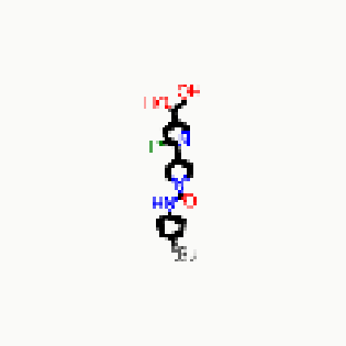 CC(C)(C)c1ccc(NC(=O)N2CC=C(c3ncc([C@H](O)CO)cc3F)CC2)cc1